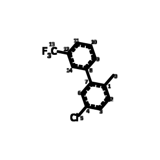 Cc1[c]cc(Cl)cc1-c1cccc(C(F)(F)F)c1